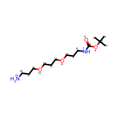 CC(C)(C)OC(=O)NCCCOCCCOCCCN